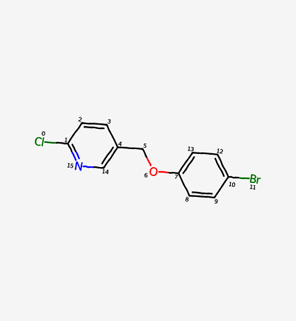 Clc1ccc(COc2ccc(Br)cc2)cn1